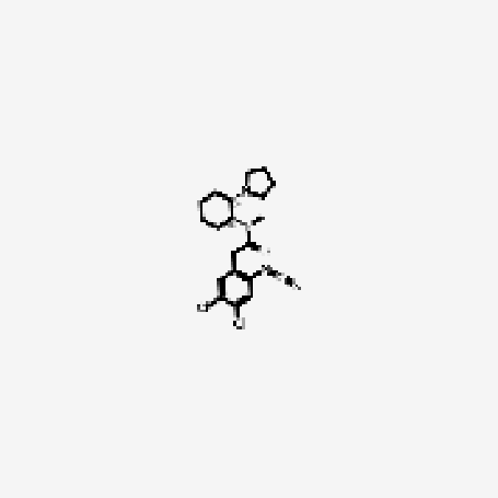 CN(C(=O)Cc1cc(Cl)c(Cl)cc1N=C=S)[C@H]1CCCC[C@@H]1N1CCCC1